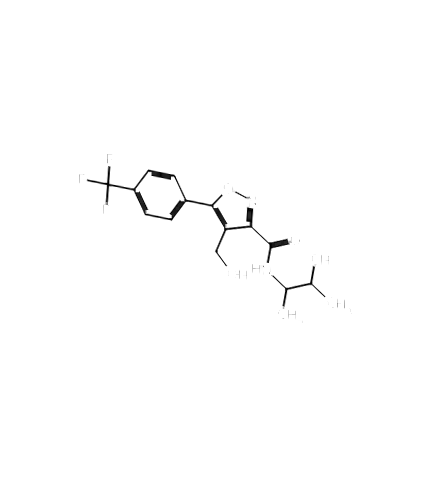 CC(C)C(C)NC(=O)c1noc(-c2ccc(C(F)(F)F)cc2)c1CO